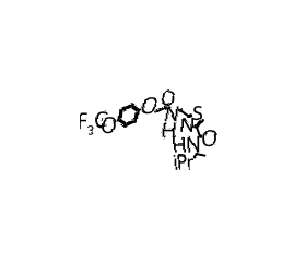 CC(C)C(C)NC(=O)c1csc(CNC(=O)COc2ccc(OC(F)(F)F)cc2)n1